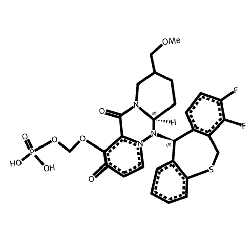 COCC1CC[C@@H]2N(C1)C(=O)c1c(OCOP(=O)(O)O)c(=O)ccn1N2[C@@H]1c2ccccc2SCc2c1ccc(F)c2F